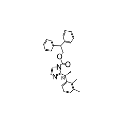 Cc1cccc([C@H](C)c2nccn2C(=O)OCC(c2ccccc2)c2ccccc2)c1C